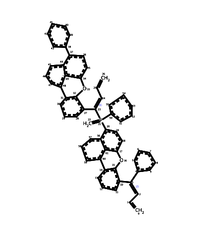 C=C/C=C(/c1ccccc1)c1cccc2c1Oc1ccc(P(=C)(/C(=C/C=C)c3cccc4c3Oc3ccc(-c5ccccc5)c5cccc-4c35)c3ccccc3)c3cccc-2c13